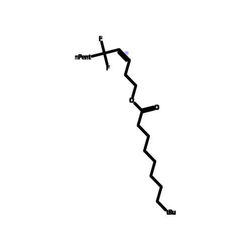 CCCCCC(F)(F)/C=C\CCOC(=O)CCCCCCCC(C)(C)C